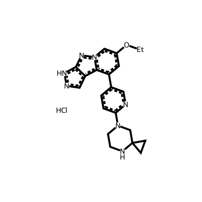 CCOc1cc(-c2ccc(N3CCNC4(CC4)C3)nc2)c2c3cn[nH]c3nn2c1.Cl